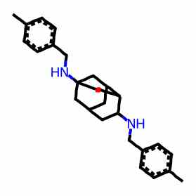 Cc1ccc(CNC2CC3CC4CC(NCc5ccc(C)cc5)(CCC42)C3)cc1